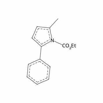 CCOC(=O)n1c(C)ccc1-c1ccccc1